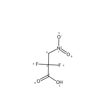 O=C(O)C(F)(F)C[N+](=O)[O-]